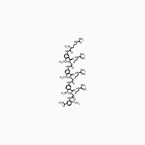 COc1ccc(C(N)=O)cc1NC(=O)[C@@H](CCCNC(=N)N)NC(=O)c1cc(NC(=O)[C@@H](CCCNC(=N)N)NC(=O)c2cc(NC(=O)[C@@H](CCCNC(=N)N)NC(=O)c3cc(NC(=O)[C@H](N)CCCNC(N)=O)ccc3OC)ccc2OC)ccc1OC